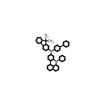 CC1(C)c2ccccc2-c2ccc(N(c3ccc(-c4ccccc4)cc3)c3ccc4c(c3)N(c3ccccc3)c3cccc5cccc-4c35)cc21